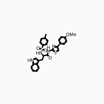 COc1ccc(-c2csc(NC(=O)C(Cc3c[nH]c4ccccc34)NS(=O)(=O)c3ccc(C)cc3)n2)cc1